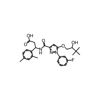 Cc1ccc(C(CC(=O)O)NC(=O)c2cc(OCC(O)C(C)(C)C)n(-c3cccc(F)c3)n2)c(C)c1